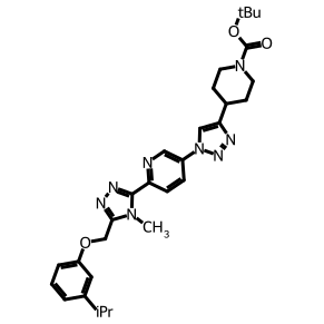 CC(C)c1cccc(OCc2nnc(-c3ccc(-n4cc(C5CCN(C(=O)OC(C)(C)C)CC5)nn4)cn3)n2C)c1